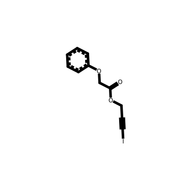 O=C(COc1ccccc1)OCC#CI